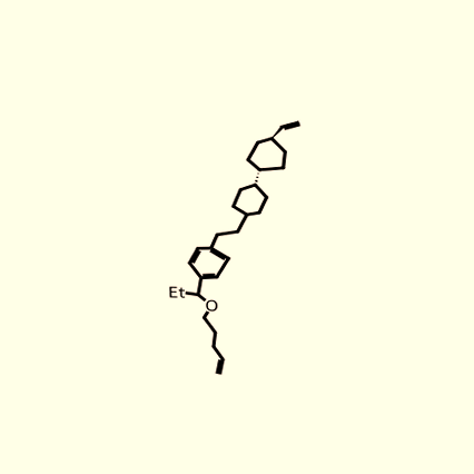 C=CCCCOC(CC)c1ccc(CCC2CCC([C@H]3CC[C@H](C=C)CC3)CC2)cc1